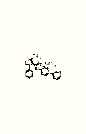 COC1(SC(F)(F)F)NC(c2cccnc2)=CC=C1NC(=O)c1c(-c2ccccc2)noc1C